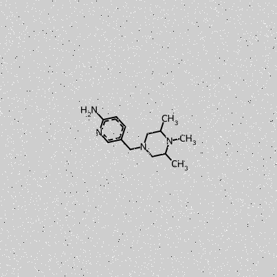 CC1CN(Cc2ccc(N)nc2)CC(C)N1C